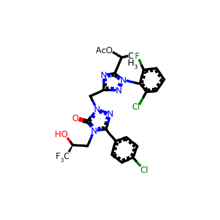 CC(=O)OC(C)c1nc(Cn2nc(-c3ccc(Cl)cc3)n(C[C@H](O)C(F)(F)F)c2=O)nn1-c1c(F)cccc1Cl